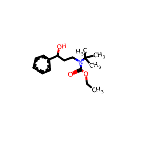 CCOC(=O)N(CCC(O)c1ccccc1)C(C)(C)C